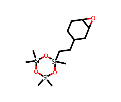 C[Si]1(C)O[Si](C)(C)O[Si](C)(CCC2CCC3OC3C2)O1